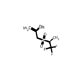 C=C(O)CS(=O)(=O)[C@@H](C)C(F)(F)F